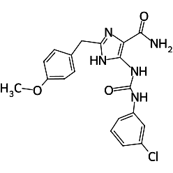 COc1ccc(Cc2nc(C(N)=O)c(NC(=O)Nc3cccc(Cl)c3)[nH]2)cc1